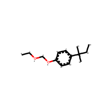 CCOCOc1ccc(C(C)(C)CC)cc1